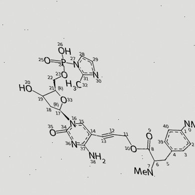 CNc1ccc(CC(NC)C(=O)OCC#Cc2cn([C@H]3CC(O)[C@@H](COP(=O)(O)n4ccnc4C)O3)c(=O)nc2N)cc1